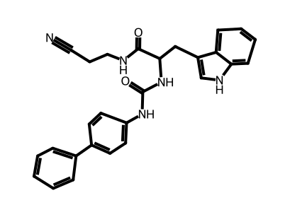 N#CCCNC(=O)C(Cc1c[nH]c2ccccc12)NC(=O)Nc1ccc(-c2ccccc2)cc1